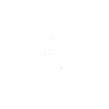 O=C(O)c1cnc2c(c1O)CSCC2